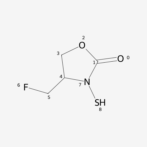 O=C1OCC(CF)N1S